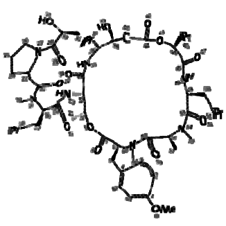 COc1ccc(C[C@H]2C(=O)O[C@H](C)[C@H](NC(=O)[C@@H](CC(C)C)N(C)C(=O)C3CCCN3C(=O)[C@H](C)O)C(=O)NC(C(C)C)[C@@H](O)CC(=O)O[C@@H](C(C)C)C(=O)N[C@@H](CC(C)C)C(=O)N(C)[C@@H](C)C(=O)N2C)cc1